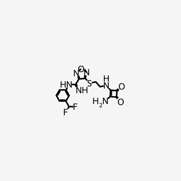 N=C(Nc1cccc(C(F)F)c1)c1nonc1SCCNc1c(N)c(=O)c1=O